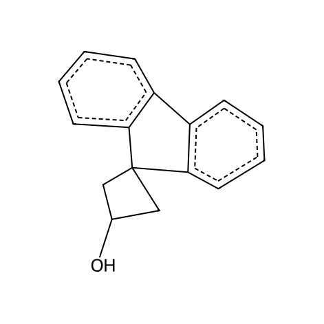 OC1CC2(C1)c1ccccc1-c1ccccc12